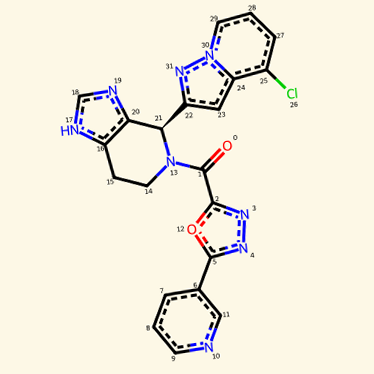 O=C(c1nnc(-c2cccnc2)o1)N1CCc2[nH]cnc2[C@H]1c1cc2c(Cl)cccn2n1